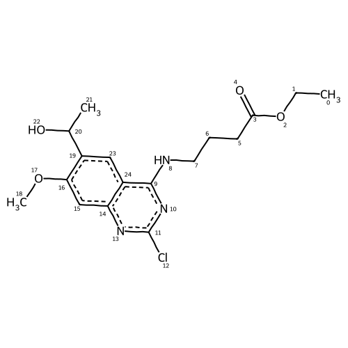 CCOC(=O)CCCNc1nc(Cl)nc2cc(OC)c(C(C)O)cc12